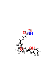 O=C(CCC/C=C\C[C@H]1[C@@H](CCC(O)Cc2ccccc2)[C@H]2CC[C@@H]1O2)NO